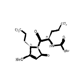 COC1=CC(=O)N(C(=O)[C@@H](CCC(Cl)(Cl)Cl)NC(=O)C(C)(C)C)[C@H]1CCC(Cl)(Cl)Cl